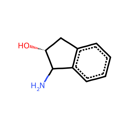 NC1c2ccccc2C[C@H]1O